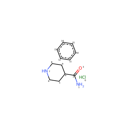 Cl.NC(=O)C1CCNCC1.c1ccccc1